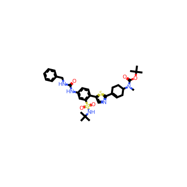 CN(C(=O)OC(C)(C)C)C1CC=C(c2ncc(-c3ccc(NC(=O)NCc4ccccc4)cc3S(=O)(=O)NC(C)(C)C)s2)CC1